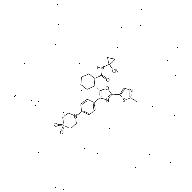 Cc1ncc(-c2nc(-c3ccc(N4CCS(=O)(=O)CC4)cc3)c([C@@H]3CCCC[C@H]3C(=O)NC3(C#N)CC3)o2)s1